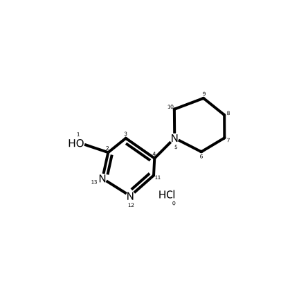 Cl.Oc1cc(N2CCCCC2)cnn1